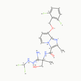 Cc1nc2c(OCc3c(F)cccc3F)cccn2c1C(=O)NC(C)(CO)/C(N)=N/NC(F)F